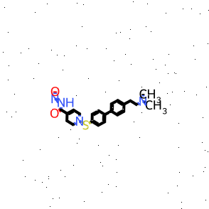 CN(C)CCc1ccc(-c2ccc(SN3CC=C(C(=O)NN=O)CC3)cc2)cc1